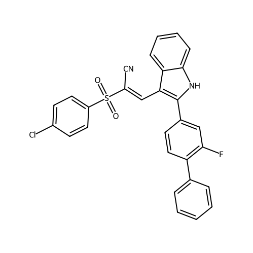 N#C/C(=C\c1c(-c2ccc(-c3ccccc3)c(F)c2)[nH]c2ccccc12)S(=O)(=O)c1ccc(Cl)cc1